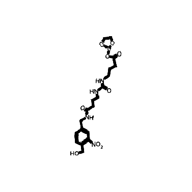 O=C(CCCNC(=O)NCCCC(=O)ON1OCCO1)NCc1ccc(CO)c([N+](=O)[O-])c1